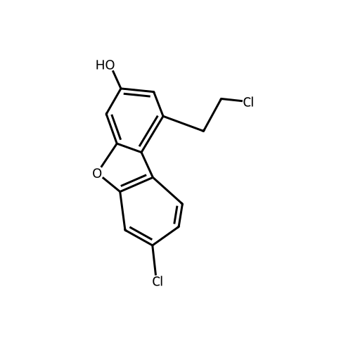 Oc1cc(CCCl)c2c(c1)oc1cc(Cl)ccc12